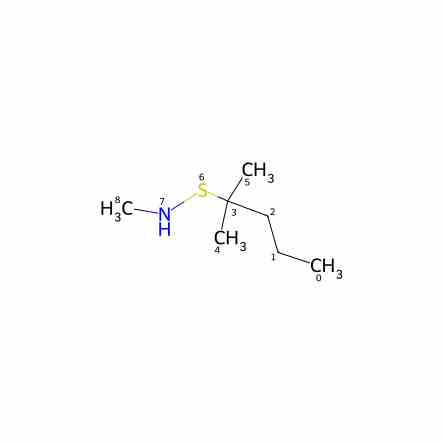 CCCC(C)(C)SNC